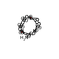 NC(=O)c1cc2c3cc1C(=O)C[C@@H]1CCCC[C@H]1N1C(=O)c4ccc5c6ccc7c8c(ccc(c9ccc(c4c59)C1=O)c86)C(=O)N(C7=O)[C@@H]1CCCC[C@H]1n1c(=O)c4cc5c(=O)n(c(=O)c5cc4c1=O)[C@@H]1CCCC[C@H]1N(C2=O)C3=O